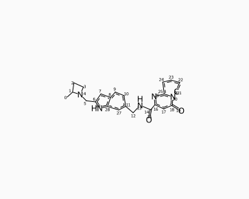 CC1CCN1Cc1cc2ccc(CNC(=O)c3cc(=O)n4ccccc4n3)cc2[nH]1